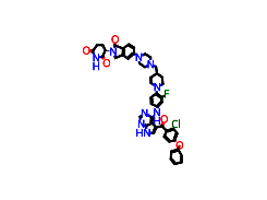 O=C1CC[C@H](N2Cc3cc(N4CCN(CC5CCN(c6ccc(Nc7ncnc8[nH]cc(C(=O)c9ccc(Oc%10ccccc%10)cc9Cl)c78)cc6F)CC5)CC4)ccc3C2=O)C(=O)N1